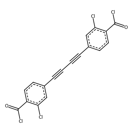 O=C(Cl)c1ccc(C#CC#Cc2ccc(C(=O)Cl)c(Cl)c2)cc1Cl